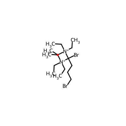 CC[N+](CC)(CC)C(Br)(CCCBr)[N+](CC)(CC)CC